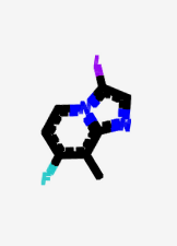 Cc1c(F)ccn2c(I)cnc12